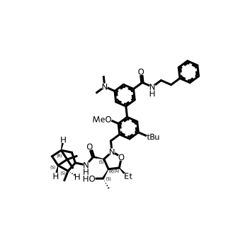 CC[C@@H]1ON(Cc2cc(C(C)(C)C)cc(-c3cc(C(=O)NCCc4ccccc4)cc(N(C)C)c3)c2OC)[C@H](C(=O)NC2C[C@H]3C[C@@H]([C@@H]2C)C3(C)C)[C@@H]1[C@H](C)O